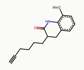 C#CCCCCC1Cc2cccc(OC)c2NC1=O